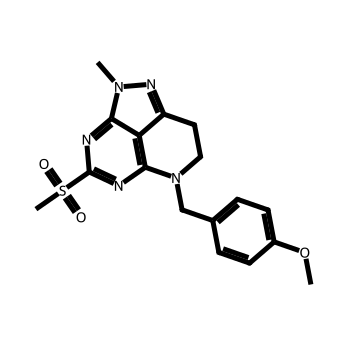 COc1ccc(CN2CCc3nn(C)c4nc(S(C)(=O)=O)nc2c34)cc1